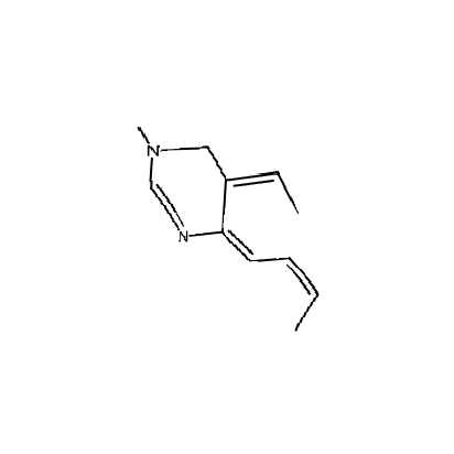 C\C=C/C=C1/N=CN(C)C/C1=C/C